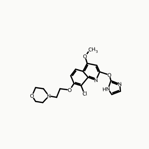 COc1cc(Oc2ncc[nH]2)nc2c(Cl)c(OCCN3CCOCC3)ccc12